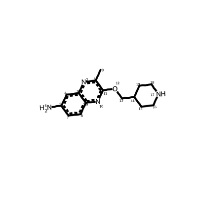 Cc1nc2cc(N)ccc2nc1OCC1CCNCC1